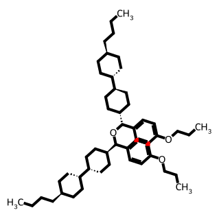 CCCC[C@H]1CC[C@H]([C@H]2CC[C@H](C(OC(c3ccc(OCCC)cc3)[C@H]3CC[C@H]([C@H]4CC[C@H](CCCC)CC4)CC3)c3ccc(OCCC)cc3)CC2)CC1